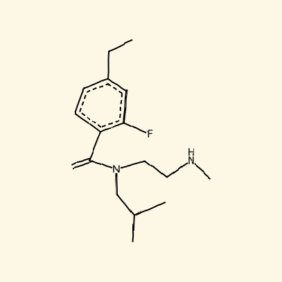 C=C(c1ccc(CC)cc1F)N(CCNC)CC(C)C